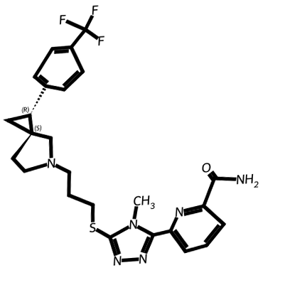 Cn1c(SCCCN2CC[C@]3(C[C@@H]3c3ccc(C(F)(F)F)cc3)C2)nnc1-c1cccc(C(N)=O)n1